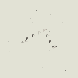 [F-].[F-].[F-].[F-].[F-].[F-].[Lu+3].[Y+3]